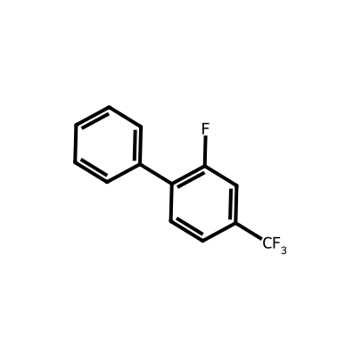 Fc1cc(C(F)(F)F)ccc1-c1ccccc1